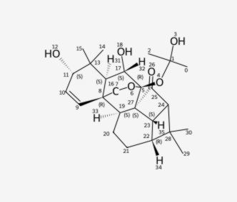 CC(C)(O)O[C@@]12OC[C@]3(C=C[C@H](O)C(C)(C)[C@H]3[C@@H]1O)[C@@H]1CC[C@@H]3[C@H]4C(C(=O)[C@]412)C3(C)C